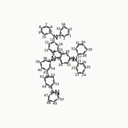 c1ccc(N(c2ccccc2)c2ccc3c(c2)c2cc(N(c4ccccc4)c4ccccc4)ccc2n3-c2cccc(-c3ccc(-c4ccccn4)cc3)c2)cc1